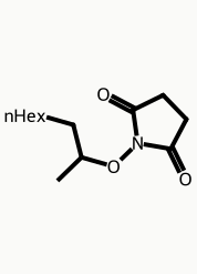 CCCCCCCC(C)ON1C(=O)CCC1=O